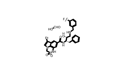 CCc1cn2c3c(cc(C(=O)N[C@@H](Cc4ccccc4)[C@H](O)CNCc4cccc(C(F)(F)F)c4)cc13)NS(=O)(=O)C2.O=CO